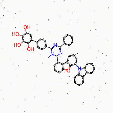 CN1C(c2ccc(-c3cc(O)c(O)c(O)c3O)cc2)=NC(c2ccccc2)=NC1c1cccc2oc3c(-n4c5ccccc5c5ccccc54)cccc3c12